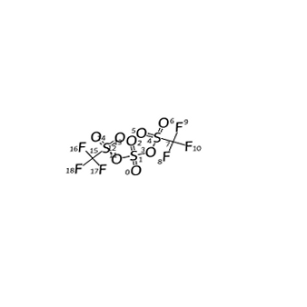 O=S(=O)(OS(=O)(=O)C(F)(F)F)OS(=O)(=O)C(F)(F)F